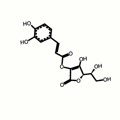 O=C(C=Cc1ccc(O)c(O)c1)OC1=C(O)[C@@H]([C@@H](O)CO)OC1=O